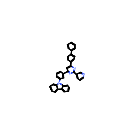 c1ccc(-c2ccc(-c3cc(-c4cccc(-n5c6ccccc6c6ccccc65)c4)nc(-c4cccnc4)n3)cc2)cc1